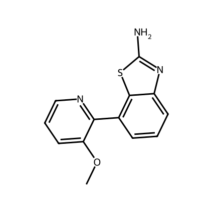 COc1cccnc1-c1cccc2nc(N)sc12